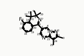 Cc1nn2cc(C3=NC(C)(C)C(C)(C)c4c(F)cccc43)cnc2c1C